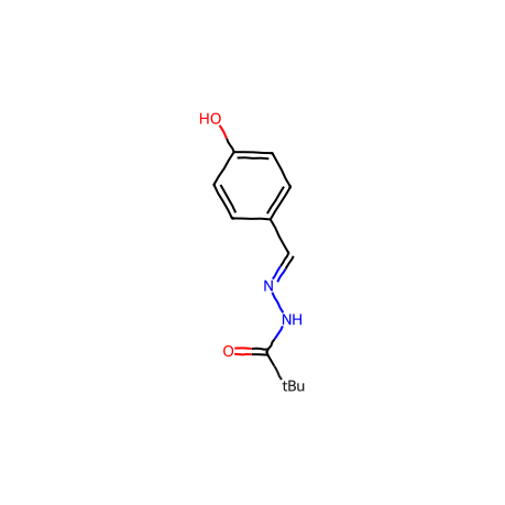 CC(C)(C)C(=O)NN=Cc1ccc(O)cc1